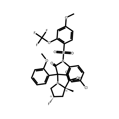 COc1ccc(S(=O)(=O)N2C(=O)C(c3ccccc3OC)(N3C[C@@H](F)C[C@@]3(C)C(=O)O)c3cc(Cl)ccc32)c(OC(F)(F)F)c1